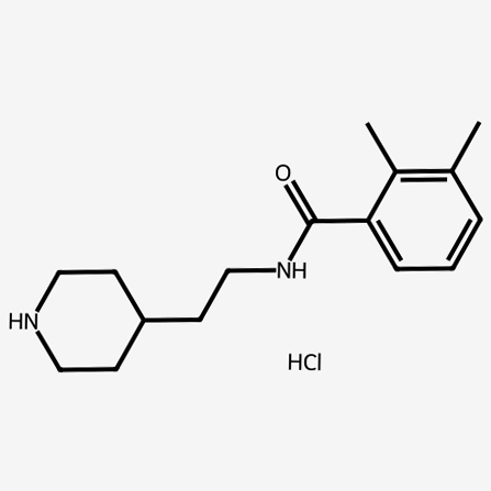 Cc1cccc(C(=O)NCCC2CCNCC2)c1C.Cl